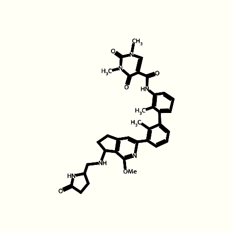 COc1nc(-c2cccc(-c3cccc(NC(=O)c4cn(C)c(=O)n(C)c4=O)c3C)c2C)cc2c1C(NCC1CCC(=O)N1)CC2